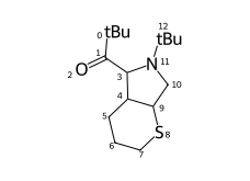 CC(C)(C)C(=O)C1C2CCCSC2CN1C(C)(C)C